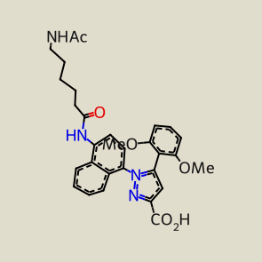 COc1cccc(OC)c1-c1cc(C(=O)O)nn1-c1ccc(NC(=O)CCCCCNC(C)=O)c2ccccc12